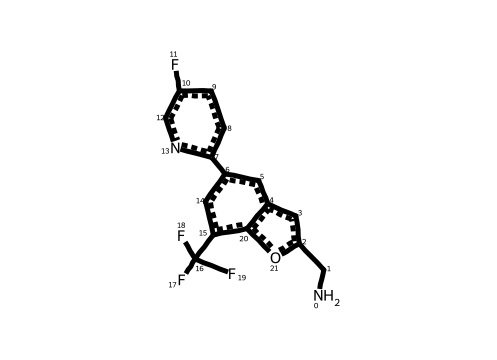 NCc1cc2cc(-c3ccc(F)[c]n3)cc(C(F)(F)F)c2o1